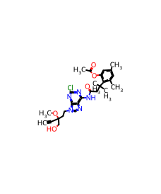 C#CC(CO)(CCn1cnc2c(NC(=O)CC(C)(C)c3c(C)cc(C)cc3OC(C)=O)nc(Cl)nc21)OC